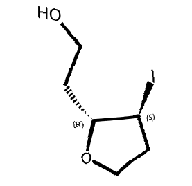 OCC[C@H]1OCC[C@@H]1I